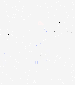 C=CC(=O)N1CC(n2nc(C#Cc3c(Cl)cc4c(ncn4C)c3F)c3c(N)ncnc32)C[C@@H]1CCOC